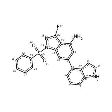 Nc1cc(-c2cccc3[nH]ccc23)cc2c1c(F)nn2S(=O)(=O)c1ccccc1